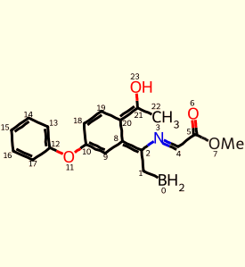 BCC(/N=C/C(=O)OC)=c1\cc(Oc2ccccc2)cc\c1=C(\C)O